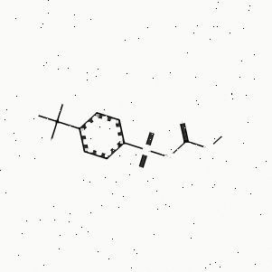 COC(=O)NS(=O)(=O)c1ccc(C(F)(F)F)cc1